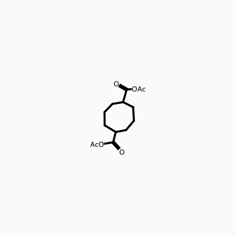 CC(=O)OC(=O)C1CCCC(C(=O)OC(C)=O)CCC1